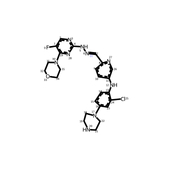 Fc1cnc(N/N=C/c2ccc(Nc3ccc(N4CCNCC4)cc3Cl)cn2)nc1N1CCOCC1